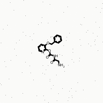 NCC(=O)NC(=O)Oc1ncccc1OCc1ccccc1